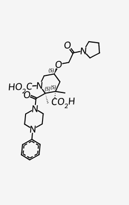 C[C@]1(C(=O)N2CCN(c3ccccc3)CC2)N(C(=O)O)C[C@@H](OCC(=O)N2CCCC2)C[C@]1(C)C(=O)O